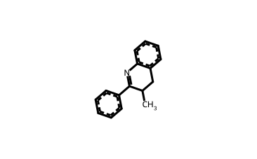 CC1Cc2ccccc2N=C1c1ccccc1